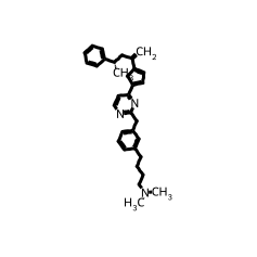 C=C(C[C@H](C)c1ccccc1)C1=CC=C(c2ccnc(Cc3cccc(CCCCN(C)C)c3)n2)C1